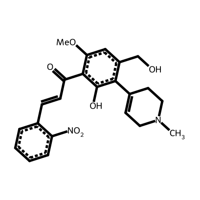 COc1cc(CO)c(C2=CCN(C)CC2)c(O)c1C(=O)/C=C/c1ccccc1[N+](=O)[O-]